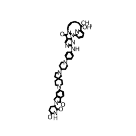 C[C@@]1(O)CC/C=C\Cn2c(=O)c3cnc(Nc4ccc(N5CCC(N6CCC7(CCN(c8ccc9c(c8)CN(C8CCC(=O)NC8=O)C9=O)CC7)C6)CC5)cc4)nc3n2-c2cccc1n2